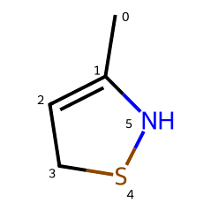 CC1=CCSN1